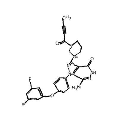 CC#CC(=O)N1CCC[C@@H](c2nn(-c3ccc(Oc4cc(F)cc(F)c4)cc3)c3c(N)n[nH]c(=O)c23)C1